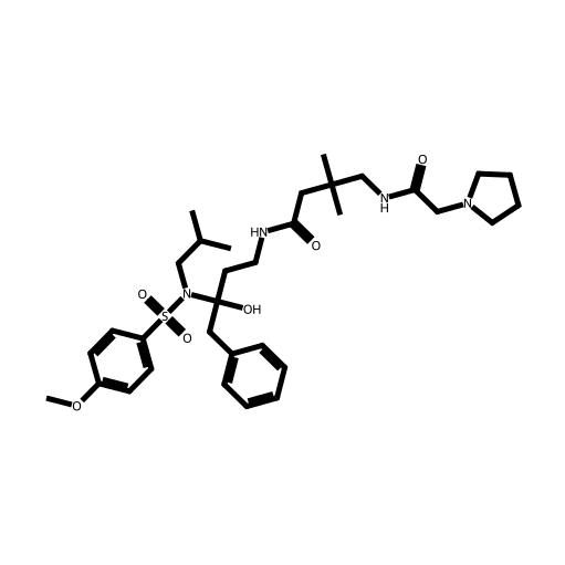 COc1ccc(S(=O)(=O)N(CC(C)C)C(O)(CCNC(=O)CC(C)(C)CNC(=O)CN2CCCC2)Cc2ccccc2)cc1